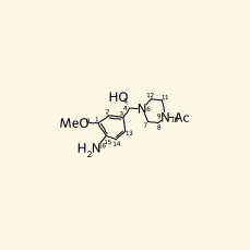 COc1cc([C@H](O)N2CCN(C(C)=O)CC2)ccc1N